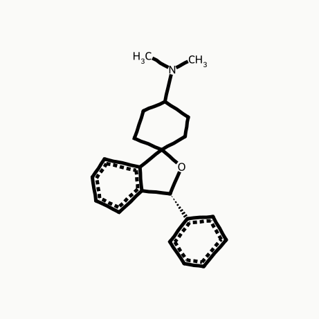 CN(C)C1CCC2(CC1)O[C@H](c1ccccc1)c1ccccc12